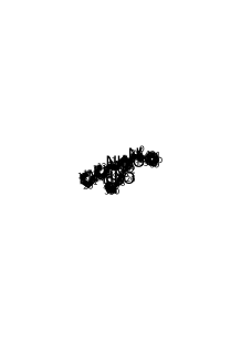 C[C@@H]1N=C(N2CCN(C(=O)[C@H](N)[C@H]3CC[C@H](N4CCCCC4)CC3)[C@H](C(=O)NCc3cccs3)C2)O[C@H]1c1ccccc1